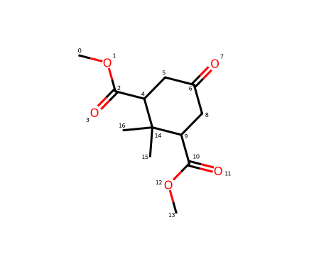 COC(=O)C1CC(=O)CC(C(=O)OC)C1(C)C